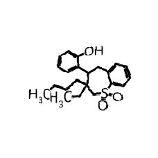 CCCCC1(CC)CS(=O)(=O)c2ccccc2CC1c1ccccc1O